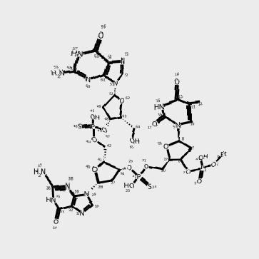 CCOP(=O)(O)OC1C[C@H](n2cc(C)c(=O)[nH]c2=O)O[C@@H]1COP(O)(=S)O[C@@H]1C[C@H](n2cnc3c(=O)[nH]c(N)nc32)O[C@@H]1COP(O)(=S)O[C@@H]1C[C@H](n2cnc3c(=O)[nH]c(N)nc32)O[C@@H]1CO